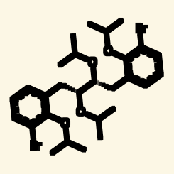 CC(C)Oc1c(Br)cccc1C[C@@H](OC(C)C)[C@@H](Cc1cccc(Br)c1OC(C)C)OC(C)C